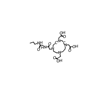 CCCNC(=O)CNC(=O)CN1CCN(CC(=O)O)CCN(CC(=O)O)CCN(CC(=O)O)CC1